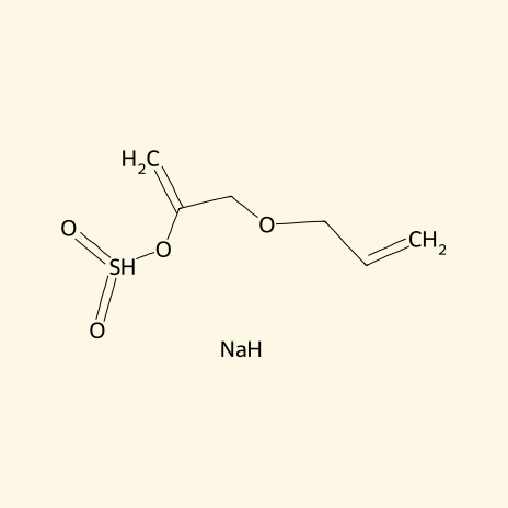 C=CCOCC(=C)O[SH](=O)=O.[NaH]